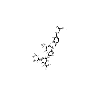 CC(=O)N[C@@H](Cc1ccc(COC(N)=O)cc1)c1nnc(-c2cc(C3CCCCC3)cc(C(F)(F)F)c2)s1